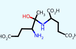 CC(O)(NC(CCC(=O)O)C(=O)O)C(N)CCC(=O)O